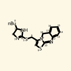 CCCCC1CN=C(SCC2=CSC3=Nc4ccccc4CN23)N1